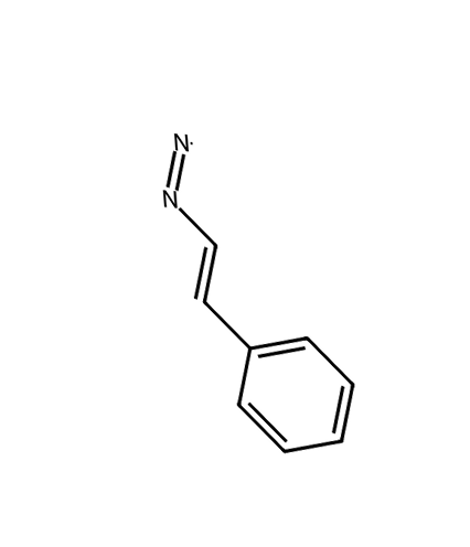 [N]=NC=Cc1ccccc1